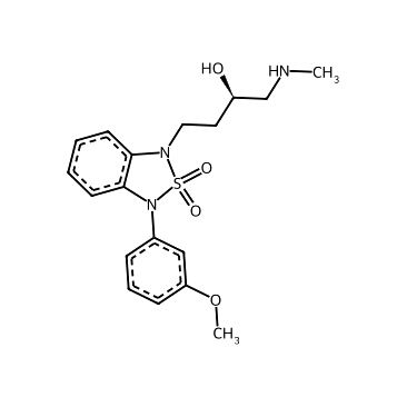 CNC[C@H](O)CCN1c2ccccc2N(c2cccc(OC)c2)S1(=O)=O